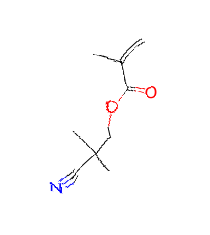 C=C(C)C(=O)OCC(C)(C)C#N